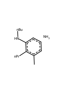 CCCCNc1cccc(C)c1CCC.N